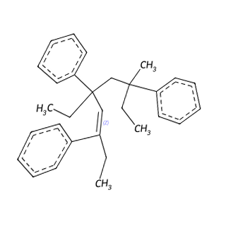 CC/C(=C/C(CC)(CC(C)(CC)c1ccccc1)c1ccccc1)c1ccccc1